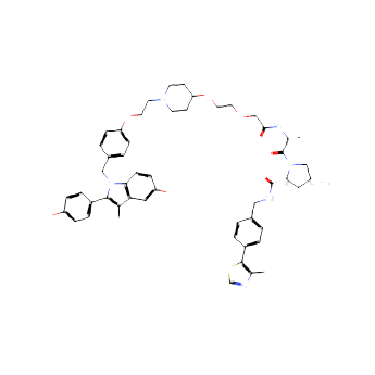 Cc1ncsc1-c1ccc(CNC(=O)[C@@H]2C[C@@H](O)CN2C(=O)[C@@H](NC(=O)COCCOC2CCN(CCOc3ccc(Cn4c(-c5ccc(O)cc5)c(C)c5cc(O)ccc54)cc3)CC2)C(C)(C)C)cc1